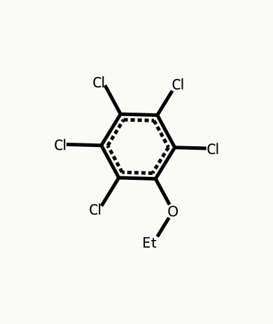 CCOc1c(Cl)c(Cl)c(Cl)c(Cl)c1Cl